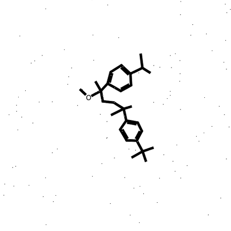 COC(C)(CCC(C)(C)c1ccc(C(C)(C)C)cc1)c1ccc(C(C)C)cc1